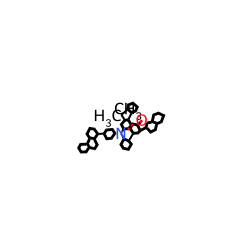 CC1(C)c2ccccc2-c2ccc(N(c3ccc(-c4cccc5c4ccc4ccccc45)cc3)c3ccccc3-c3ccc4oc5c6ccccc6ccc5c4c3)cc21